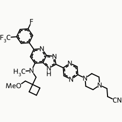 COCC1(CN(C)c2cc(-c3cc(F)cc(C(F)(F)F)c3)nc3nc(-c4cnc(N5CCN(CCC#N)CC5)cn4)[nH]c23)CCC1